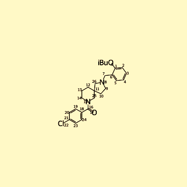 CC(C)COc1ccccc1CN1CCC2(CCCN(C(=O)c3ccc(Cl)cc3)C2)C1